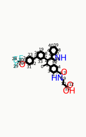 CC(c1ccc(C(=O)NCCC(=O)O)cc1)C(c1cccc(-c2ccc(OC(F)(F)F)cc2)c1)c1c[nH]c2ccccc12